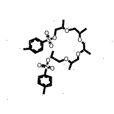 Cc1ccc(S(=O)(=O)OCC(C)OCC(C)OCC(C)OCC(C)OCC(C)OS(=O)(=O)c2ccc(C)cc2)cc1